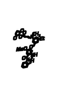 CCc1cc(COc2cc3c(cc2OC)C(=O)N2c4ccccc4C[C@H]2CN3)cc(N(C)CCCC(=O)OC2C(=O)CCC2=O)c1